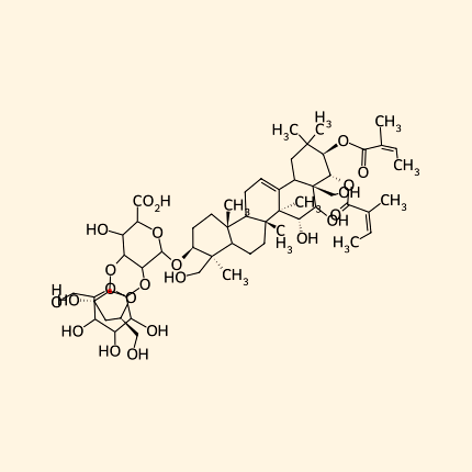 C/C=C(/C)C(=O)O[C@H]1[C@H](OC(=O)/C(C)=C\C)[C@@]2(CO)C(CC1(C)C)C1=CCC3[C@@]4(C)CC[C@H](OC5OC(C(=O)O)C(O)C(OC6O[C@@H](CO)C[C@@H]6O)C5OC5OC(CO)C(O)C(O)C5O)[C@](C)(CO)C4CC[C@@]3(C)[C@]1(C)[C@@H](O)C2O